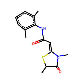 Cc1cccc(C)c1NC(=O)/C=C1\SC(C)C(=O)N1C